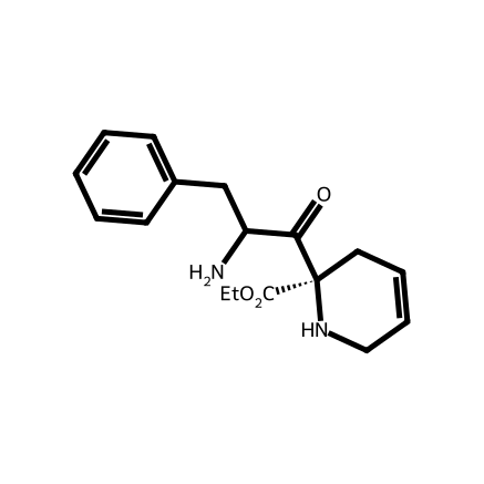 CCOC(=O)[C@]1(C(=O)C(N)Cc2ccccc2)CC=CCN1